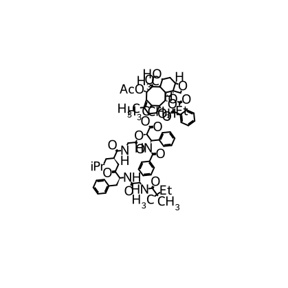 CCC(=O)O[C@@]12CO[C@@H]1C[C@H](O)[C@@]1(C)C(=O)[C@H](OC(C)=O)C3=C(C)[C@@H](OC(=O)[C@H](OC(=O)CNC(=O)[C@@H](CC(=O)[C@H](Cc4ccccc4)NC(=O)CNC(=O)C(C)(C)CC)CC(C)C)[C@@H](NC(=O)c4ccccc4)c4ccccc4)C[C@@](O)([C@@H](OC(=O)c4ccccc4)[C@H]21)C3(C)C